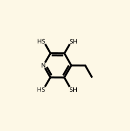 CCc1c(S)c(S)nc(S)c1S